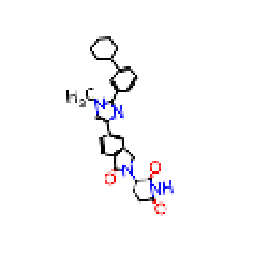 Cn1cc(-c2ccc3c(c2)CN(C2CCC(=O)NC2=O)C3=O)nc1-c1cccc(C2CCCCC2)c1